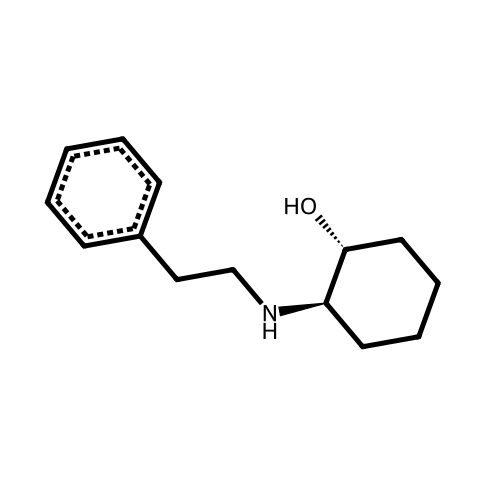 O[C@@H]1CCCC[C@H]1NCCc1ccccc1